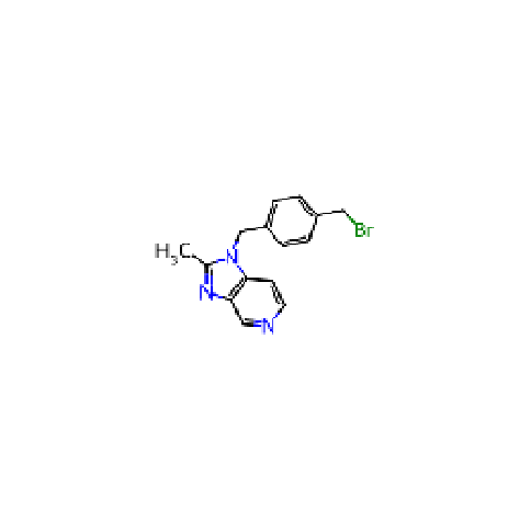 Cc1nc2cnccc2n1Cc1ccc(CBr)cc1